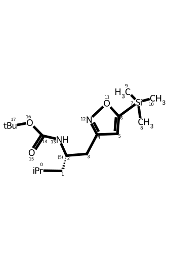 CC(C)C[C@@H](Cc1cc([Si](C)(C)C)on1)NC(=O)OC(C)(C)C